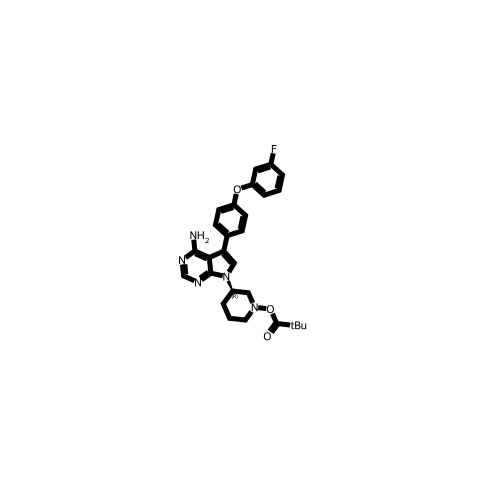 CC(C)(C)C(=O)ON1CCC[C@@H](n2cc(-c3ccc(Oc4cccc(F)c4)cc3)c3c(N)ncnc32)C1